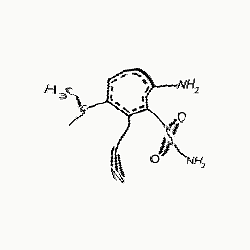 CSc1ccc(N)c(S(N)(=O)=O)c1C#N